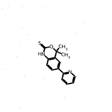 CC1(C)OC(=S)Nc2ccc(-c3ccc[c]n3)cc21